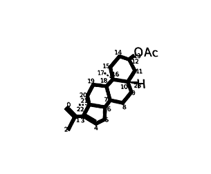 C=C(C)C1=CCC2C3CC[C@H]4CC(OC(C)=O)CC[C@]4(C)C3CC[C@]12C